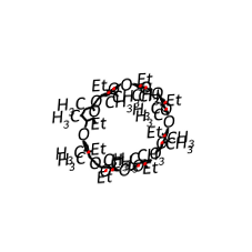 CCC1CC2OC3C(CC)OC(OC4C(CC)OC(OC5C(CC)OC(OC6C(CC)OC(OC7C(CC)OC(OC8C(CC)OC(OC9C(CC)OC(OC1C(C)C2C)C(C)C9C)C(C)C8C)C(C)C7C)C(C)C6C)C(C)C5C)C(C)C4C)C(C)C3C